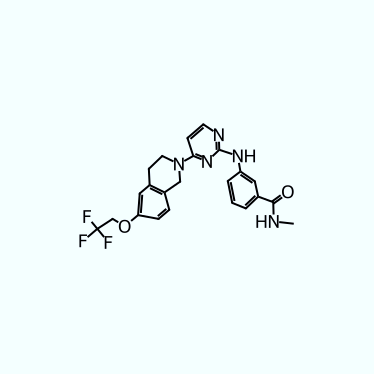 CNC(=O)c1cccc(Nc2nccc(N3CCc4cc(OCC(F)(F)F)ccc4C3)n2)c1